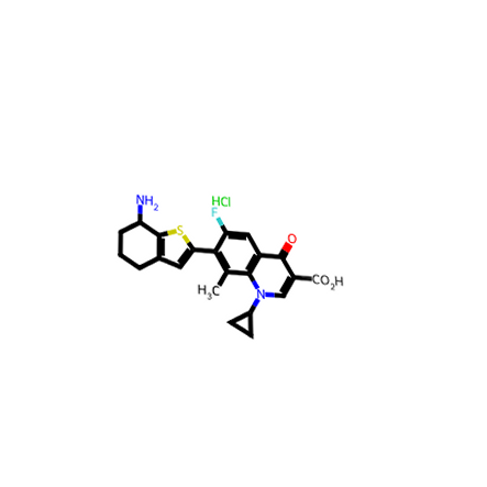 Cc1c(-c2cc3c(s2)C(N)CCC3)c(F)cc2c(=O)c(C(=O)O)cn(C3CC3)c12.Cl